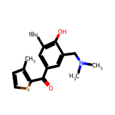 Cc1ccsc1C(=O)c1cc(CN(C)C)c(O)c(C(C)(C)C)c1